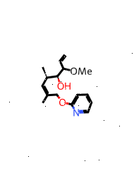 C=CC(OC)[C@@H](O)[C@H](C)/C=C(/C)COc1ccccn1